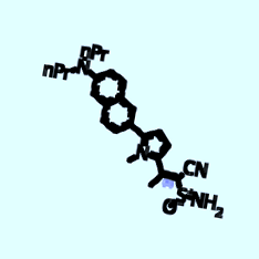 CCCN(CCC)c1ccc2cc(-c3ccc(/C(C)=C(\C#N)[S+](N)[O-])n3C)ccc2c1